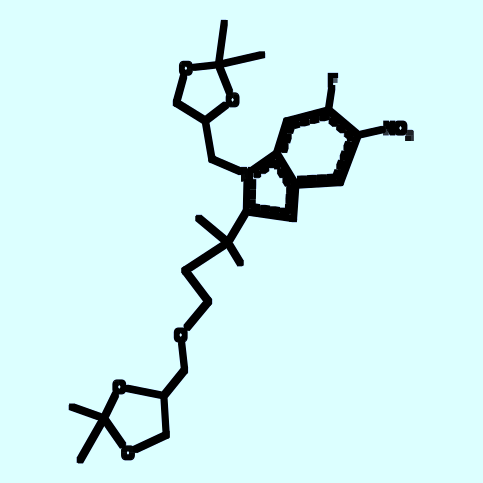 CC1(C)OCC(COCCC(C)(C)c2cc3cc([N+](=O)[O-])c(F)cc3n2CC2COC(C)(C)O2)O1